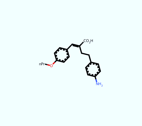 CCCOc1ccc(C=C(CCc2ccc(N)cc2)C(=O)O)cc1